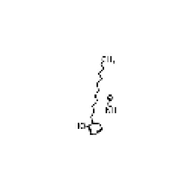 CCCCCCCCCCCCc1ccccc1O.N=C=O